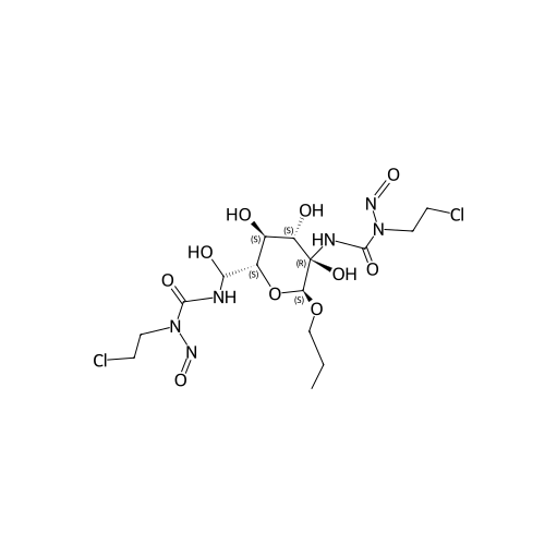 CCCO[C@H]1O[C@H](C(O)NC(=O)N(CCCl)N=O)[C@@H](O)[C@H](O)[C@]1(O)NC(=O)N(CCCl)N=O